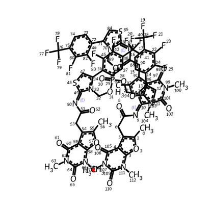 Cc1oc2c(c1CC(=O)/N=c1/scc(-c3ccc(C(F)(F)F)c(F)c3F)n1COP(=O)(OCn1c(-c3ccc(C(F)(F)F)c(F)c3F)cs/c1=N/C(=O)Cc1c(C)oc3c1c(=O)n(C)c(=O)n3C)OCn1c(-c3ccc(C(F)(F)F)c(F)c3F)cs/c1=N/C(=O)Cc1c(C)oc3c1c(=O)n(C)c(=O)n3C)c(=O)n(C)c(=O)n2C